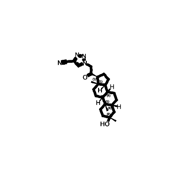 C[C@@]1(O)CC[C@@]2(C)[C@H](CC[C@@H]3[C@@H]2CC[C@]2(C)[C@@H](C(=O)Cn4cc(C#N)nn4)CC[C@@H]32)C1